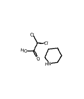 C1CCNCC1.O=C(O)C(Cl)Cl